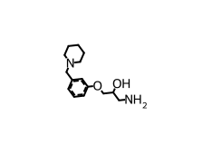 NCC(O)COc1cccc(CN2CCCCC2)c1